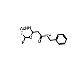 CC(=O)NC(CC(=O)NCc1ccccc1)OC(F)F